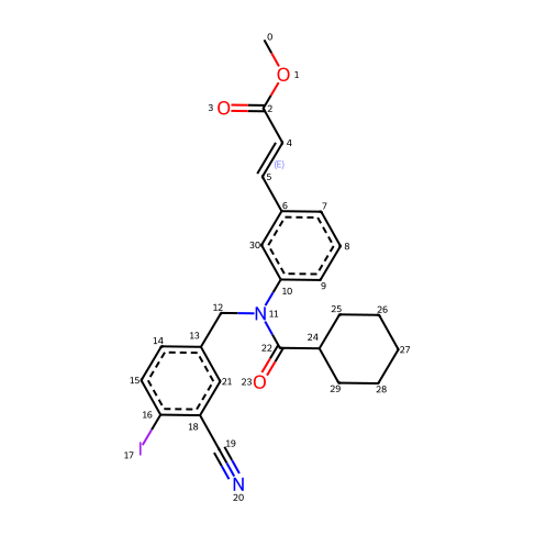 COC(=O)/C=C/c1cccc(N(Cc2ccc(I)c(C#N)c2)C(=O)C2CCCCC2)c1